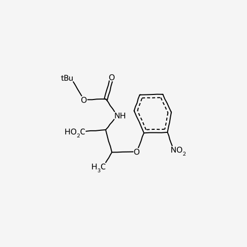 CC(Oc1ccccc1[N+](=O)[O-])C(NC(=O)OC(C)(C)C)C(=O)O